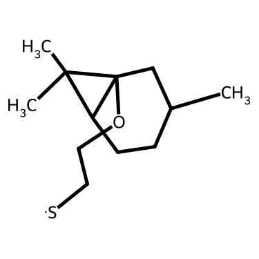 CC1CCC2C(C)(C)C2(OCC[S])C1